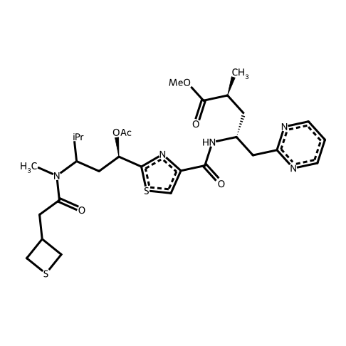 COC(=O)[C@@H](C)C[C@H](Cc1ncccn1)NC(=O)c1csc([C@@H](CC(C(C)C)N(C)C(=O)CC2CSC2)OC(C)=O)n1